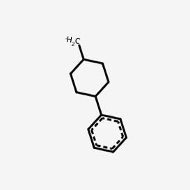 [CH2]C1CCC(c2ccccc2)CC1